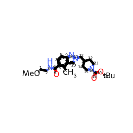 COCCNC(=O)c1ccc2nn(CC3CCN(C(=O)OC(C)(C)C)CC3)cc2c1C